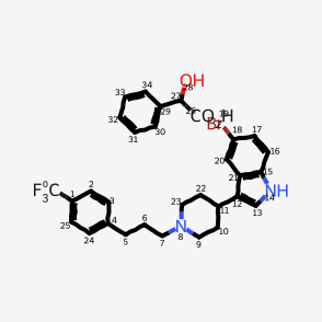 FC(F)(F)c1ccc(CCCN2CCC(c3c[nH]c4ccc(Br)cc34)CC2)cc1.O=C(O)C(O)c1ccccc1